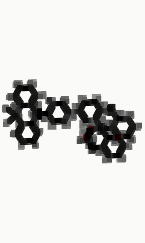 CC1(C)c2ccccc2N(c2ccc(-c3ccc4c(c3)[Si]3(c5ccccc5Sc5ccccc53)c3ccccc3S4)cc2)c2ccccc21